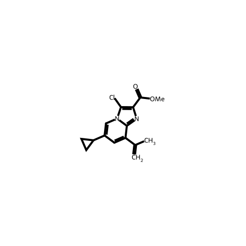 C=C(C)c1cc(C2CC2)cn2c(Cl)c(C(=O)OC)nc12